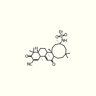 CCS(=O)(=O)N[C@@]1(C)CCC(C)(C)CCC2C(=O)C=C3[C@@]4(C)C=C(C#N)C(=O)C(C)(C)[C@@H]4CC[C@@]3(C)[C@]2(C)CC1